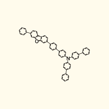 c1ccc(-c2ccc(N(c3ccc(-c4ccccc4)cc3)c3ccc(-c4ccc(-c5ccc6c(c5)oc5cc(-c7ccccc7)ccc56)cc4)cc3)cc2)cc1